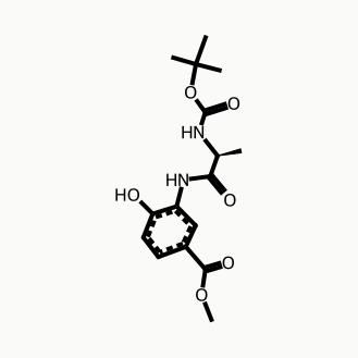 COC(=O)c1ccc(O)c(NC(=O)[C@H](C)NC(=O)OC(C)(C)C)c1